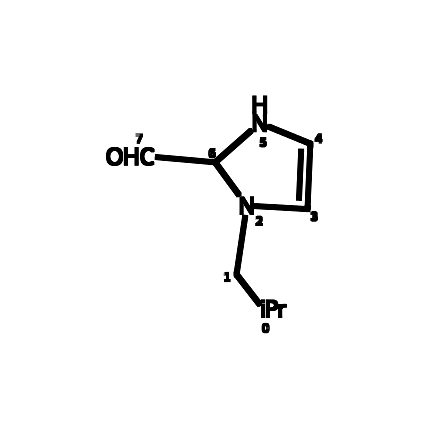 CC(C)CN1C=CNC1C=O